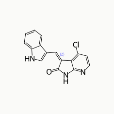 O=C1Nc2nccc(Cl)c2/C1=C/c1c[nH]c2ccccc12